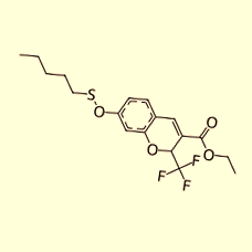 CCCCCSOc1ccc2c(c1)OC(C(F)(F)F)C(C(=O)OCC)=C2